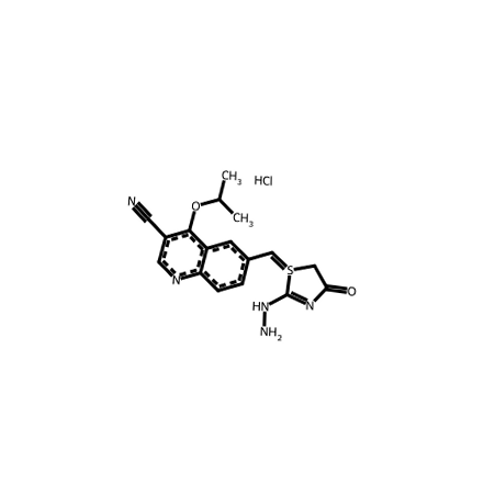 CC(C)Oc1c(C#N)cnc2ccc(/C=S3/CC(=O)N=C3NN)cc12.Cl